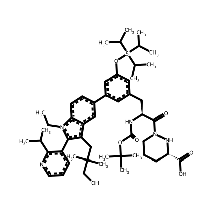 CCn1c(-c2cccnc2C(C)C)c(CC(C)(C)CO)c2cc(-c3cc(C[C@H](NC(=O)OC(C)(C)C)C(=O)N4CCC[C@@H](C(=O)O)N4)cc(O[Si](C(C)C)(C(C)C)C(C)C)c3)ccc21